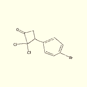 O=C1CC(c2ccc(Br)cc2)C1(Cl)Cl